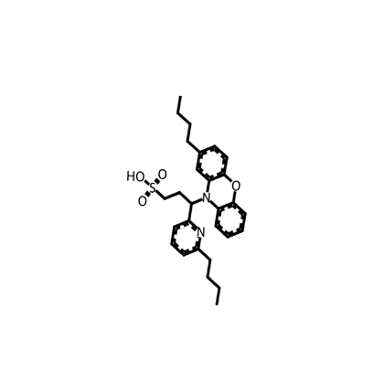 CCCCc1ccc2c(c1)N(C(CCS(=O)(=O)O)c1cccc(CCCC)n1)c1ccccc1O2